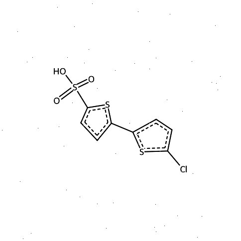 O=S(=O)(O)c1ccc(-c2ccc(Cl)s2)s1